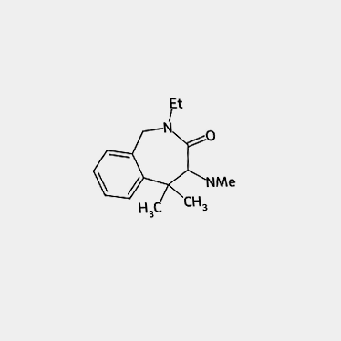 CCN1Cc2ccccc2C(C)(C)C(NC)C1=O